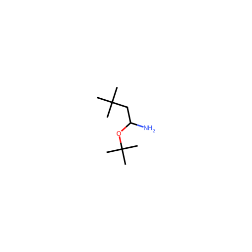 CC(C)(C)CC(N)OC(C)(C)C